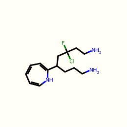 NCCCC(CC(F)(Cl)CCN)C1=CC=CC=CN1